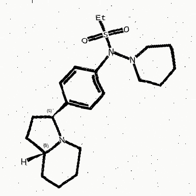 CCS(=O)(=O)N(c1ccc([C@@H]2CC[C@H]3CCCCN32)cc1)N1CCCCC1